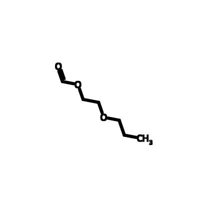 CCCOCCOC=O